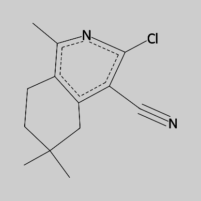 Cc1nc(Cl)c(C#N)c2c1CCC(C)(C)C2